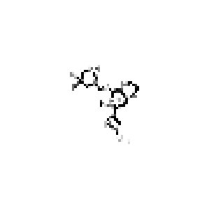 C=C(/C=c1/nccn/c1=C(/N)OCC1CNCC(F)(F)C1)c1cnn(C)c1